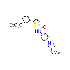 CCOC(=O)c1cccc(-c2ccc(C(=O)Nc3ccc(N4CCC(NC)C4)cc3)s2)c1